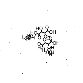 O.O.O.O.O=C(O)C(O)C(O)C(=O)O.O=C(O)C(O)C(O)C(=O)O.[H+].[KH].[KH].[NaH]